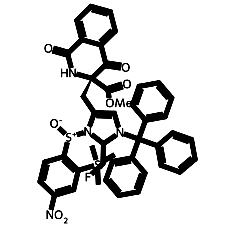 COC(=O)[C@]1(CC2=CN(C(c3ccccc3)(c3ccccc3)c3ccccc3)C(CF)N2[S+]([O-])c2ccc([N+](=O)[O-])cc2[Si](C)(C)C)NC(=O)c2ccccc2C1=O